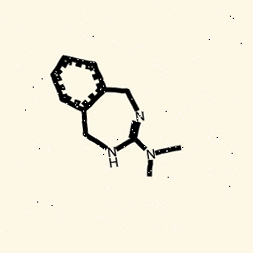 CN(C)C1=NCc2ccccc2CN1